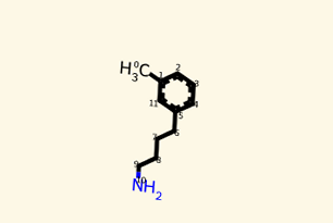 Cc1cccc(CCCCN)c1